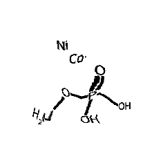 NOP(=O)(O)O.[Co].[Ni]